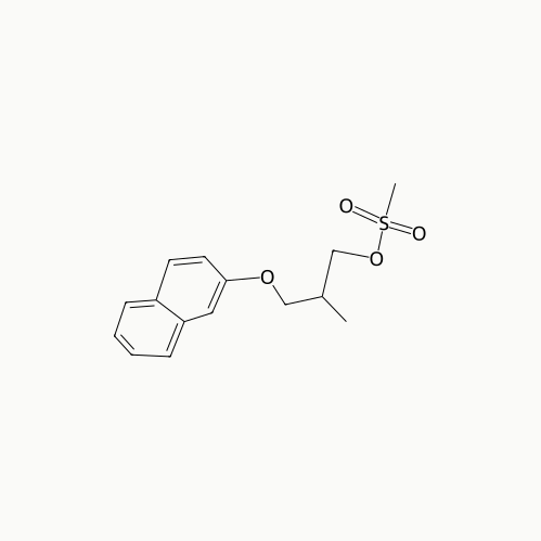 CC(COc1ccc2ccccc2c1)COS(C)(=O)=O